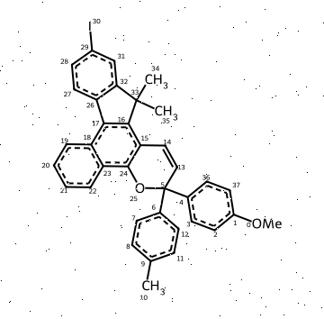 COc1ccc(C2(c3ccc(C)cc3)C=Cc3c4c(c5ccccc5c3O2)-c2ccc(I)cc2C4(C)C)cc1